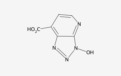 O=C(O)c1ccnc2c1nnn2O